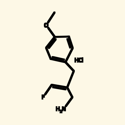 COc1ccc(CC(=CF)CN)cc1.Cl